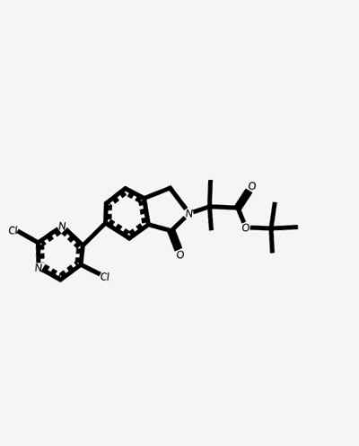 CC(C)(C)OC(=O)C(C)(C)N1Cc2ccc(-c3nc(Cl)ncc3Cl)cc2C1=O